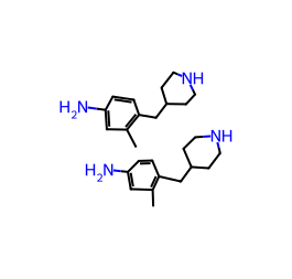 Cc1cc(N)ccc1CC1CCNCC1.Cc1cc(N)ccc1CC1CCNCC1